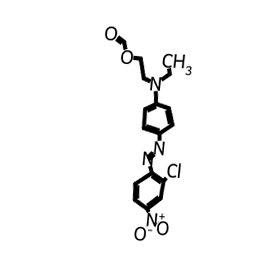 CCN(CCOC=O)c1ccc(N=Nc2ccc([N+](=O)[O-])cc2Cl)cc1